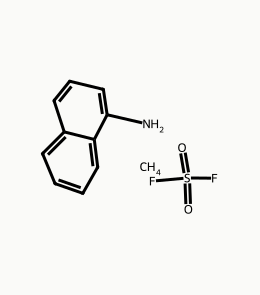 C.Nc1cccc2ccccc12.O=S(=O)(F)F